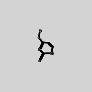 CCOc1cc[nH]c(=O)n1